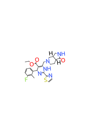 CCOC(=O)C1=C(CN2CC[C@H]3C(=O)NC[C@@H]3C2)NC(c2nccs2)=NC1c1cccc(F)c1C